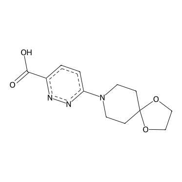 O=C(O)c1ccc(N2CCC3(CC2)OCCO3)nn1